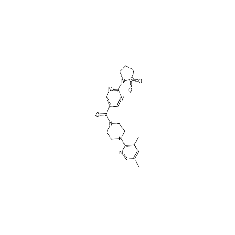 Cc1cnc(N2CCN(C(=O)c3cnc(N4CCCS4(=O)=O)nc3)CC2)c(C)c1